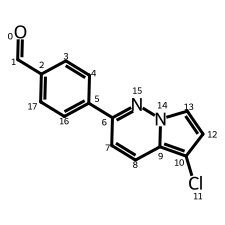 O=Cc1ccc(-c2ccc3c(Cl)ccn3n2)cc1